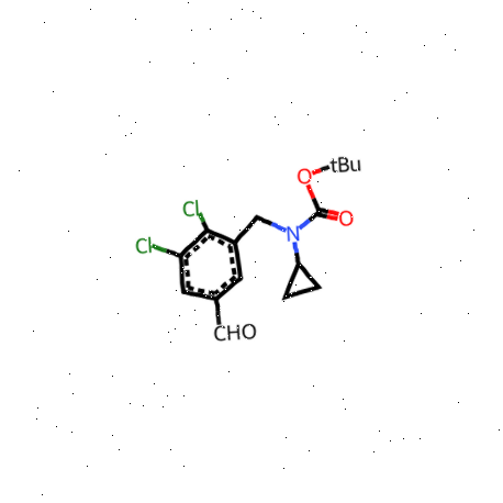 CC(C)(C)OC(=O)N(Cc1cc(C=O)cc(Cl)c1Cl)C1CC1